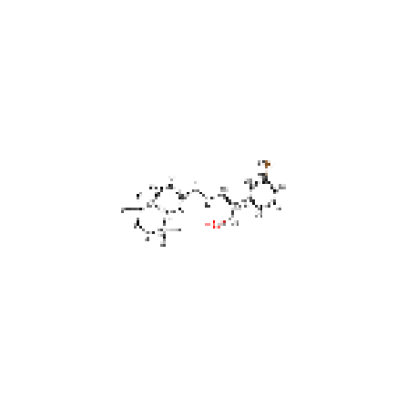 CC1(C)CCC(C)(C)c2cc(CCC=C(CO)c3cccc(Br)c3)ccc21